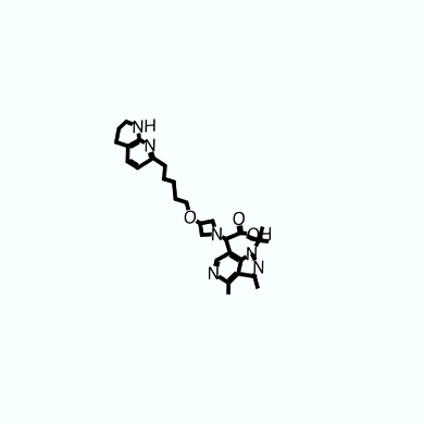 Cc1ncc(C(C(=O)O)N2CC(OCCCCCc3ccc4c(n3)NCCC4)C2)c2c1c(C)nn2C(C)(C)C